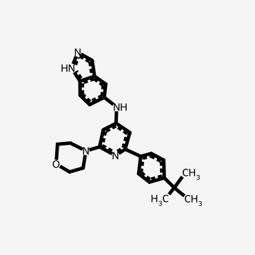 CC(C)(C)c1ccc(-c2cc(Nc3ccc4[nH]ncc4c3)cc(N3CCOCC3)n2)cc1